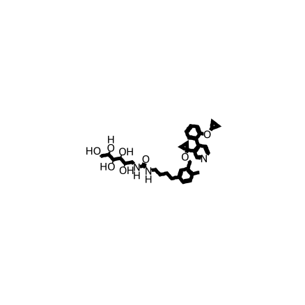 Cc1ccc(CCCCNC(=O)NC[C@H](O)[C@@H](O)[C@H](O)[C@H](O)CO)cc1COC1(c2cnccc2-c2ccccc2OC2CC2)CC1